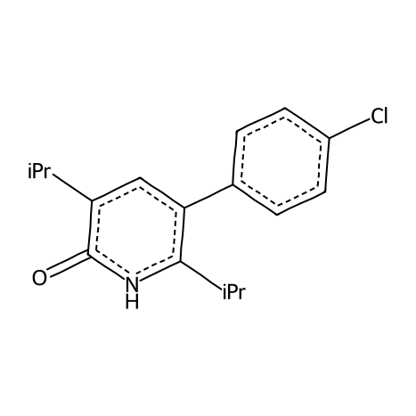 CC(C)c1[nH]c(=O)c(C(C)C)cc1-c1ccc(Cl)cc1